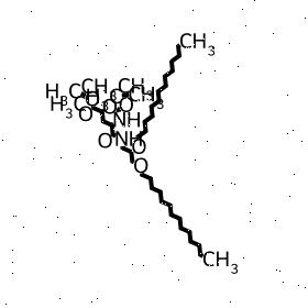 CCCCCCCCCCCCCCOCC(CNC(=O)C(CCC(=O)OC(C)(C)C)NC(=O)OC(C)(C)C)OCCCCCCCCCCCCCC